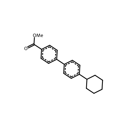 COC(=O)c1ccc(-c2ccc(C3CCCCC3)cc2)cc1